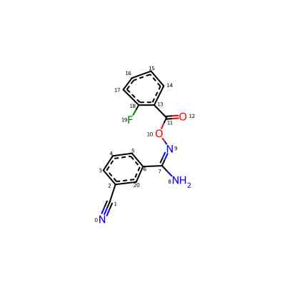 N#Cc1cccc(/C(N)=N\OC(=O)c2ccccc2F)c1